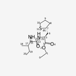 CCOC(=O)[C@H](C[C@H]1CCCS1)NC(=O)[C@@H](N)C(C)CC